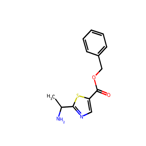 CC(N)c1ncc(C(=O)OCc2ccccc2)s1